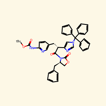 CC(C)(C)OC(=O)Nc1ccc(C[C@@H](C(=O)N2C(=O)OC[C@H]2Cc2ccccc2)c2cn(C(c3ccccc3)(c3ccccc3)c3ccccc3)cn2)cn1